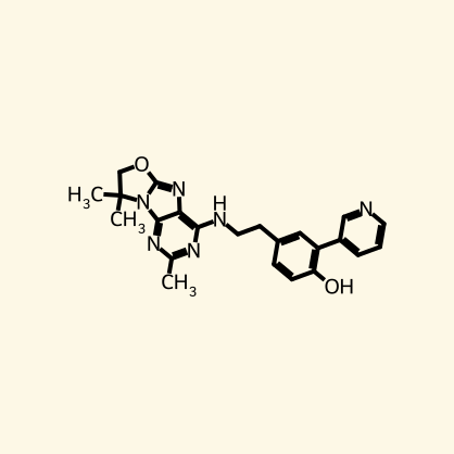 Cc1nc(NCCc2ccc(O)c(-c3cccnc3)c2)c2nc3n(c2n1)C(C)(C)CO3